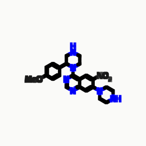 COc1ccc(C2CNCCN2c2ncnc3cc(N4CCNCC4)c([N+](=O)[O-])cc23)cc1